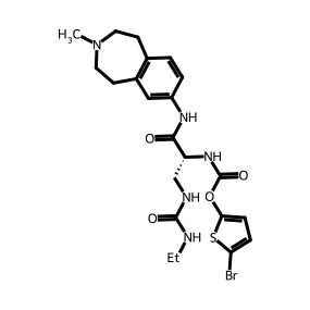 CCNC(=O)NC[C@@H](NC(=O)Oc1ccc(Br)s1)C(=O)Nc1ccc2c(c1)CCN(C)CC2